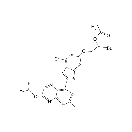 Cc1cc(-c2nc3c(Cl)cc(OCC(OC(N)=O)C(C)(C)C)cc3s2)c2ncc(OC(F)F)nc2c1